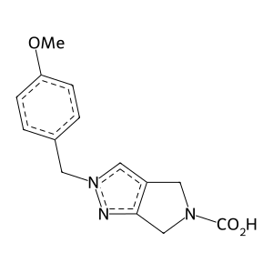 COc1ccc(Cn2cc3c(n2)CN(C(=O)O)C3)cc1